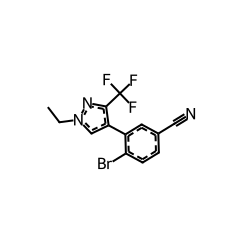 CCn1cc(-c2cc(C#N)ccc2Br)c(C(F)(F)F)n1